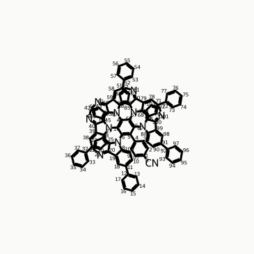 N#Cc1ccc(-c2c(-n3c4ccc(-c5ccccc5)cc4c4ncccc43)c(-n3c4ccc(-c5ccccc5)cc4c4ncccc43)c(-n3c4ccc(-c5ccccc5)cc4c4ncccc43)c(-n3c4ccc(-c5ccccc5)cc4c4ncccc43)c2-n2c3ccc(-c4ccccc4)cc3c3ncccc32)cc1